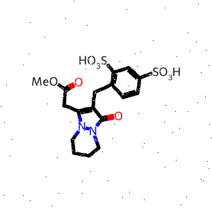 COC(=O)Cc1c(Cc2ccc(S(=O)(=O)O)cc2S(=O)(=O)O)c(=O)n2n1CCCC2